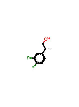 C[C@@H](CO)c1ccc(F)c(F)c1